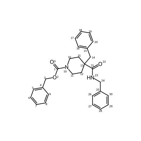 O=C(OCc1ccccc1)N1CCC(Cc2ccccc2)(C(=O)NCc2ccccc2)CC1